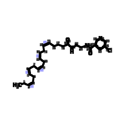 CC/C=C\C/C=C\C/C=C\C/C=C\C/C=C\CCCC(=O)NCCNC(=O)c1cncc(Cl)c1